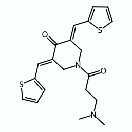 CN(C)CCC(=O)N1C/C(=C\c2cccs2)C(=O)/C(=C/c2cccs2)C1